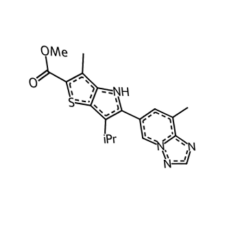 COC(=O)c1sc2c(C(C)C)c(-c3cc(C)c4ncnn4c3)[nH]c2c1C